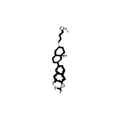 CCCCC[C@@H]1CC[C@@H]2CC(c3ccc4cc(OC(F)F)c(F)cc4c3)CCC2C1